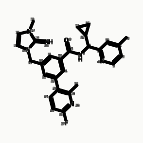 Cc1ccnc(C(NC(=O)c2cc(Cn3ccn(C)c3=N)cc(-c3ccc(F)nc3C)c2)C2CC2)c1